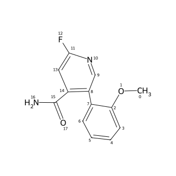 COc1ccccc1-c1cnc(F)cc1C(N)=O